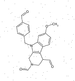 COc1ccc2c3c(n(Cc4ccc(C=O)cc4)c2c1)CN(C=O)CC3C=O